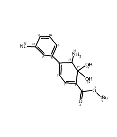 CC(C)(C)OC(=O)C1=CC=C(c2cccc(C#N)c2)C(N)C1(O)O